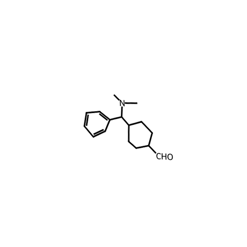 CN(C)C(c1ccccc1)C1CCC(C=O)CC1